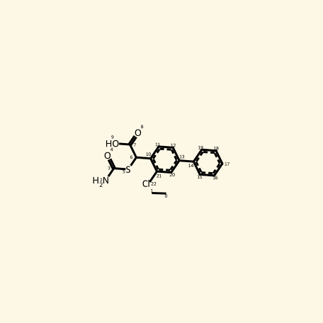 CC.NC(=O)SC(C(=O)O)c1ccc(-c2ccccc2)cc1Cl